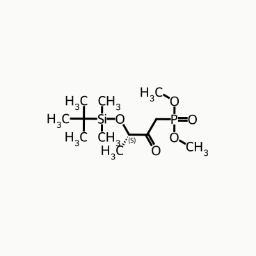 COP(=O)(CC(=O)[C@H](C)O[Si](C)(C)C(C)(C)C)OC